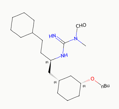 CCCCO[C@@H]1CCC[C@H](C[C@@H](CCC2CCCCC2)NC(=N)N(C)C=O)C1